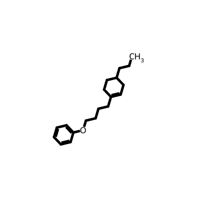 CCCC1CC=C(CCCCOc2ccccc2)CC1